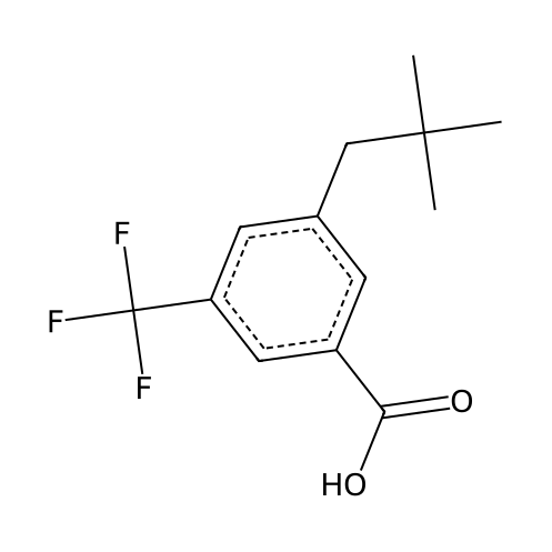 CC(C)(C)Cc1cc(C(=O)O)cc(C(F)(F)F)c1